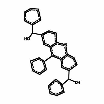 OC(c1ccccc1)c1ccc2nc3ccc(C(O)c4ccccc4)cc3c(-c3ccccc3)c2c1